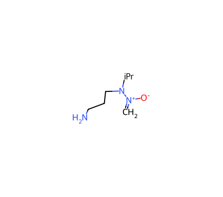 C=[N+]([O-])N(CCCN)C(C)C